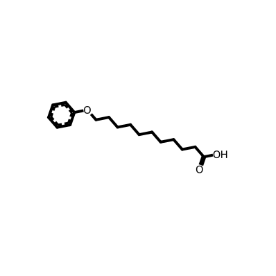 O=C(O)CCCCCCCCCCOc1ccccc1